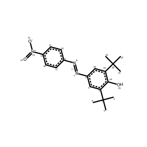 CC(C)(C)c1cc(/N=N/c2ccc([N+](=O)[O-])cc2)cc(C(C)(C)C)c1O